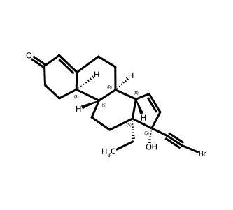 CC[C@]12CC[C@H]3[C@@H](CCC4=CC(=O)CC[C@@H]43)[C@@H]1C=C[C@@]2(O)C#CBr